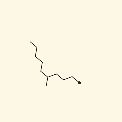 CCCCCC(C)CCCBr